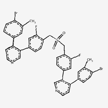 Cc1cc(-c2ccncc2-c2ccc(CS(=O)(=O)Cc3ccc(-c4cnccc4-c4ccc(Br)c(C)c4)cc3F)c(F)c2)ccc1Br